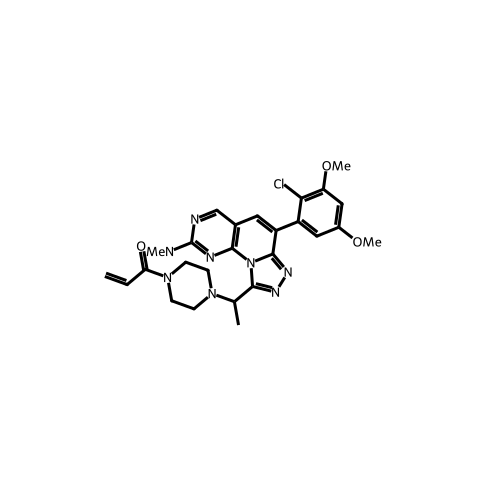 C=CC(=O)N1CCN(C(C)c2nnc3c(-c4cc(OC)cc(OC)c4Cl)cc4cnc(NC)nc4n23)CC1